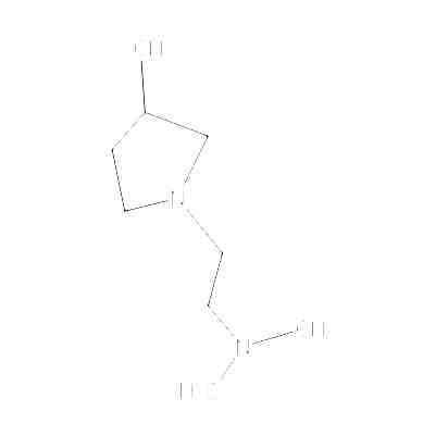 CC1CCN(CCN(C)C)C1